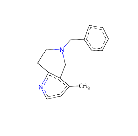 Cc1ccnc2c1CN(Cc1ccccc1)CC2